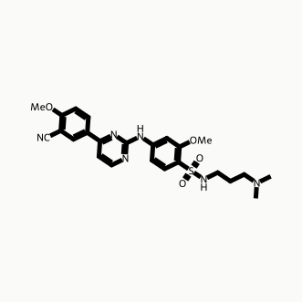 COc1ccc(-c2ccnc(Nc3ccc(S(=O)(=O)NCCCN(C)C)c(OC)c3)n2)cc1C#N